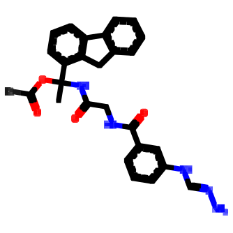 CCC(=O)OC(C)(NC(=O)CNC(=O)c1cccc(NC=NN)c1)c1cccc2c1Cc1ccccc1-2